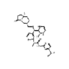 C=CC(=C\[C@H](F)C(C)C(=O)Nc1cc(C(F)F)ccn1)/C(/N=C/[C@@H]1CC[C@@H]2CCC(=O)N2C1)=C1/NC=CN[C@H]1N